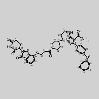 NC(=O)c1c(-c2ccc(Oc3ccccc3)cc2)nn2c1NCCC2C1CCN(C(=O)CCSc2cccc3c2CN(C2CCC(=O)NC2=O)C3=O)CC1